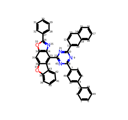 c1ccc(-c2ccc(-c3nc(-c4ccc5ccccc5c4)nc(-c4c5nc(-c6ccccc6)oc5cc5oc6ccccc6c45)n3)cc2)cc1